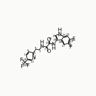 O=C(NCCc1ccc(C(F)(F)F)cn1)C(=O)Nc1c[nH]c2cc(F)c(F)cc12